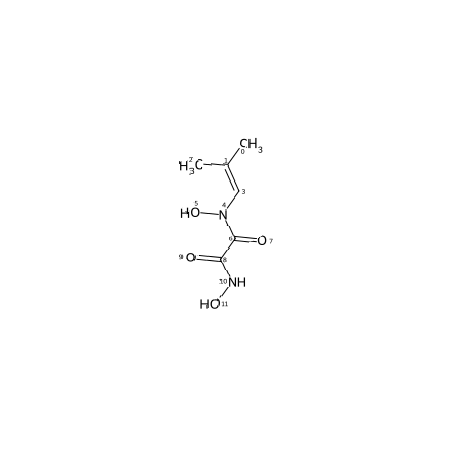 CC(C)=CN(O)C(=O)C(=O)NO